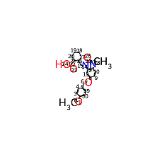 COc1ccc(COc2ccc3c(c2)n(CC2CCCCC2C(=O)O)c(=O)n3C)cc1